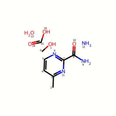 CO.Cc1ccnc(C(N)=O)n1.N.O.O=CO